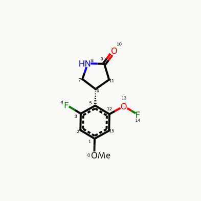 COc1cc(F)c([C@@H]2CNC(=O)C2)c(OF)c1